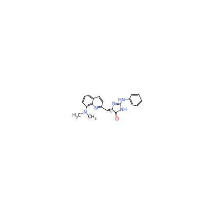 CN(C)c1cccc2ccc(/C=C3\N=C(Nc4ccccc4)NC3=O)nc12